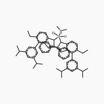 CCc1ccc2c(c1-c1cc(C(C)C)cc(C(C)C)c1)C=C(c1ccccc1)[CH]2[Zr]([Cl])([Cl])([CH]1C(c2ccccc2)=Cc2c1ccc(CC)c2-c1cc(C(C)C)cc(C(C)C)c1)[SiH](C)C